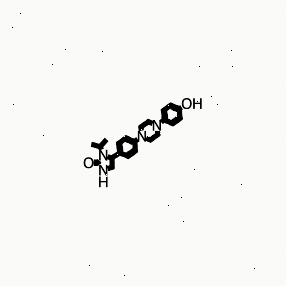 CC(C)N1C(=O)NCC1c1ccc(N2CCN(c3ccc(O)cc3)CC2)cc1